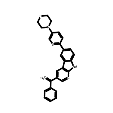 C=C(c1ccccc1)c1cnc2[nH]c3ccc(-c4ccc(N5CCOCC5)cn4)cc3c2c1